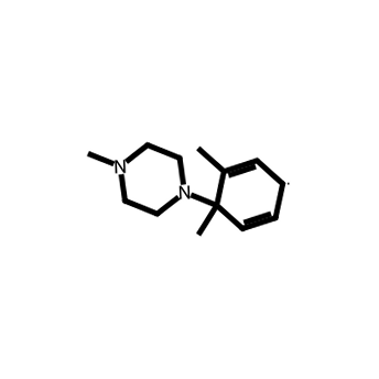 CC1=C[CH]C=CC1(C)N1CCN(C)CC1